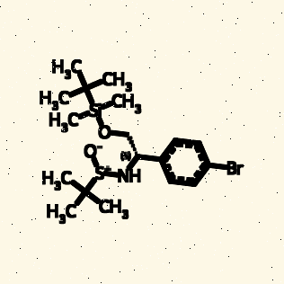 CC(C)(C)[S+]([O-])N[C@H](CO[Si](C)(C)C(C)(C)C)c1ccc(Br)cc1